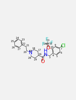 O=C(NCc1ccc(Cl)cc1OC(F)(F)F)C1CCN(CCc2ccccc2)CC1